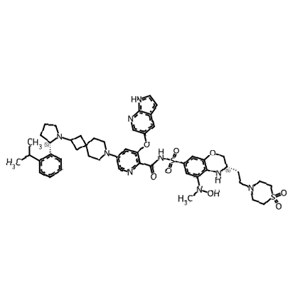 CC(C)c1ccccc1[C@@H]1CCCN1C1CC2(CCN(c3cnc(C(=O)NS(=O)(=O)c4cc5c(c(N(C)O)c4)N[C@@H](CCN4CCS(=O)(=O)CC4)CO5)c(Oc4cnc5[nH]ccc5c4)c3)CC2)C1